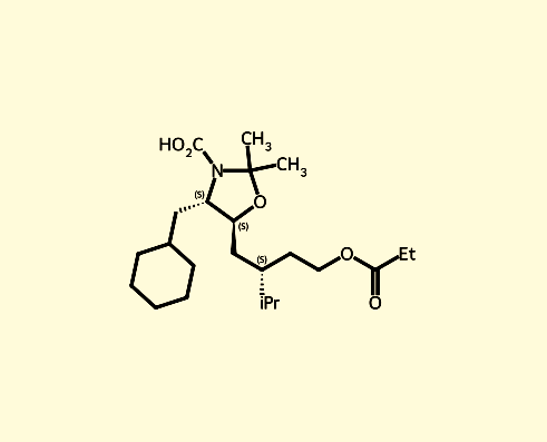 CCC(=O)OCC[C@@H](C[C@@H]1OC(C)(C)N(C(=O)O)[C@H]1CC1CCCCC1)C(C)C